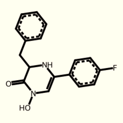 O=C1C(Cc2ccccc2)NC(c2ccc(F)cc2)=CN1O